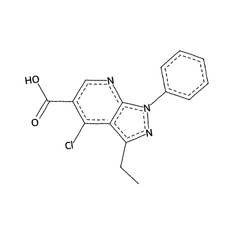 CCc1nn(-c2ccccc2)c2ncc(C(=O)O)c(Cl)c12